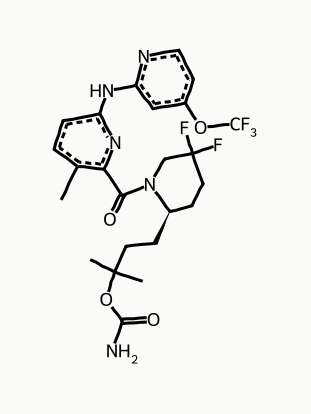 Cc1ccc(Nc2cc(OC(F)(F)F)ccn2)nc1C(=O)N1CC(F)(F)CC[C@H]1CCC(C)(C)OC(N)=O